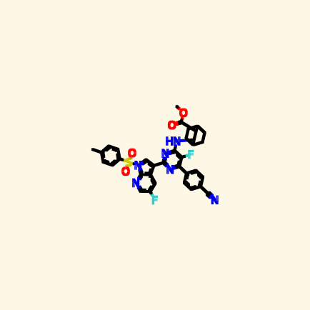 COC(=O)C1C2CCC(CC2)C1Nc1nc(-c2cn(S(=O)(=O)c3ccc(C)cc3)c3ncc(F)cc23)nc(-c2ccc(C#N)cc2)c1F